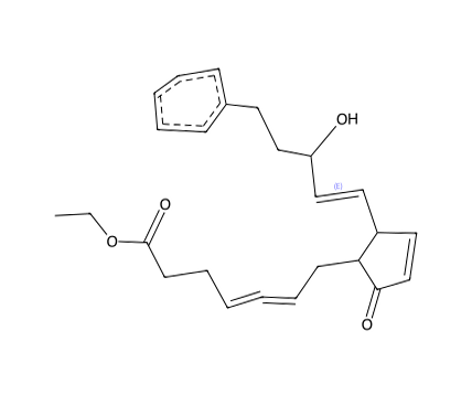 CCOC(=O)CCC=C=CCC1C(=O)C=CC1/C=C/C(O)CCc1ccccc1